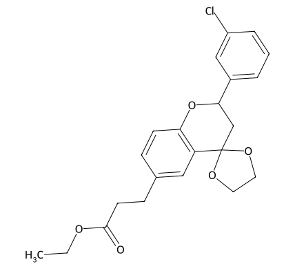 CCOC(=O)CCc1ccc2c(c1)C1(CC(c3cccc(Cl)c3)O2)OCCO1